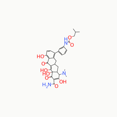 CC(C)COC(=O)Nc1cccc(-c2ccc(O)c3c2CC2CC4C(N(C)C)C(O)=C(C(N)=O)C(=O)C4(O)C(O)=C2C3=O)c1